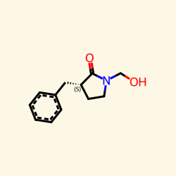 O=C1[C@@H](Cc2ccccc2)CCN1CO